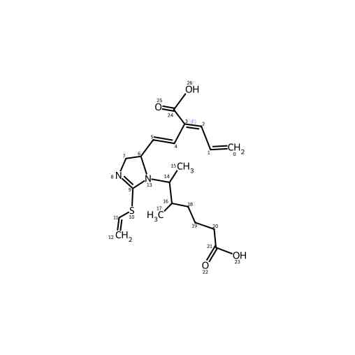 C=C/C=C(\C=CC1CN=C(SC=C)N1C(C)C(C)CCCC(=O)O)C(=O)O